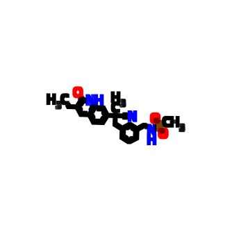 CCc1cc2ccc(C(C)(C#N)Cc3cccc(CNS(C)(=O)=O)c3)cc2[nH]c1=O